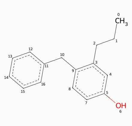 CCCc1cc(O)ccc1Cc1ccccc1